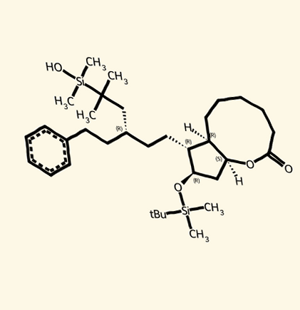 CC(C)(C[C@@H](CCc1ccccc1)CC[C@@H]1[C@H]2CCCCCC(=O)O[C@H]2C[C@H]1O[Si](C)(C)C(C)(C)C)[Si](C)(C)O